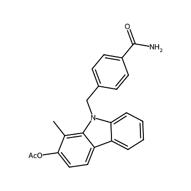 CC(=O)Oc1ccc2c3ccccc3n(Cc3ccc(C(N)=O)cc3)c2c1C